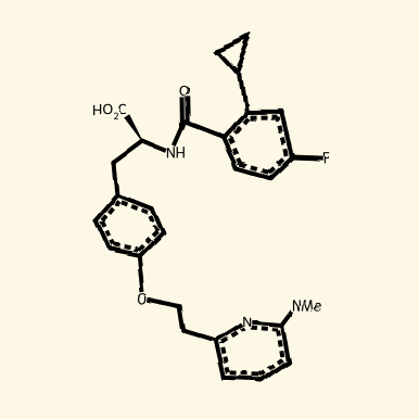 CNc1cccc(CCOc2ccc(C[C@H](NC(=O)c3ccc(F)cc3C3CC3)C(=O)O)cc2)n1